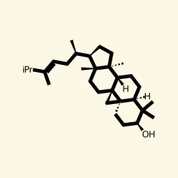 C/C(=C\C[C@@H](C)[C@H]1CC[C@@]2(C)[C@@H]3CC[C@H]4C(C)(C)[C@@H](O)CC[C@@]45C[C@@]35CC[C@]12C)C(C)C